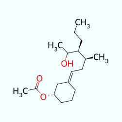 CCC[C@H](C(C)O)[C@@H](C)C/C=C1\CCC[C@H](OC(C)=O)C1